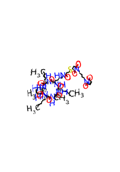 CCCCC[C@@H]1NC(=O)[C@@H](C)NC(=O)[C@H](CCCCC)NC(=O)[C@@H](CCCCNC(=O)CCSC2CC(=O)N(CCCCCCN3C(=O)C=CC3=O)C2=O)NC(=O)[C@H](CCCCC)NC(=O)[C@@H](C)NC1=O